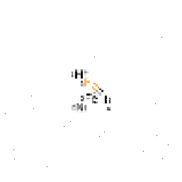 [Fe].[H+].[Ni].[P]#[Ti]